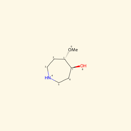 CO[C@H]1CCNCC[C@@H]1O